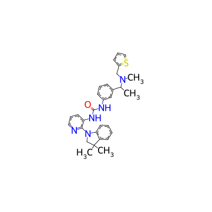 CC(c1cccc(NC(=O)Nc2cccnc2N2CC(C)(C)c3ccccc32)c1)N(C)Cc1cccs1